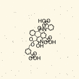 O=C(OCc1cccc(S(=O)(=O)O)c1)c1c2c3c(c(Nc4ccccc4S(=O)(=O)O)cc(S(=O)(=O)O)c3[nH]c1=O)C(=O)c1ccccc1-2